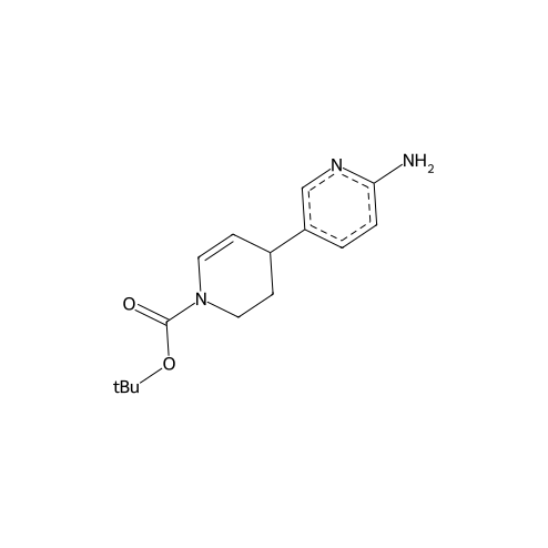 CC(C)(C)OC(=O)N1C=CC(c2ccc(N)nc2)CC1